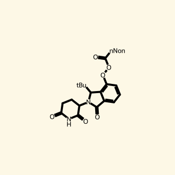 CCCCCCCCCC(=O)OOc1cccc2c1C(C(C)(C)C)N(C1CCC(=O)NC1=O)C2=O